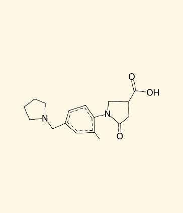 Cc1cc(CN2CCCC2)ccc1N1CC(C(=O)O)CC1=O